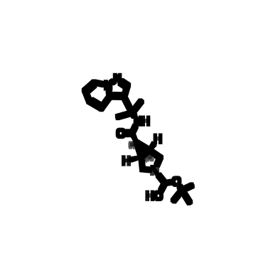 CC(C)(C)OC(O)N1C[C@@H]2[C@H](C1)[C@H]2C(=O)NC(C)(C)c1cnn2ccccc12